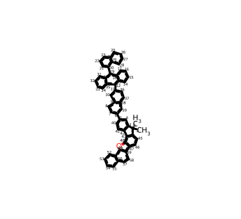 CC1(C)c2cc(-c3ccc4cc(-c5c6ccccc6c(-c6cccc7ccccc67)c6ccccc56)ccc4c3)ccc2-c2c1ccc1c2oc2c3ccccc3ccc12